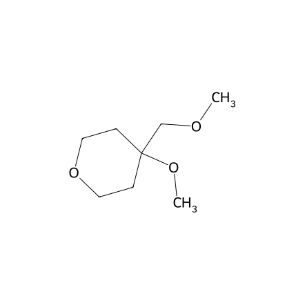 COCC1(OC)CCOCC1